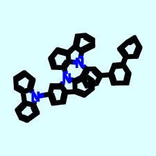 c1ccc(-c2cccc(-c3cccc(-n4c5ccccc5c5cccc(-n6c7ccccc7c7ccc(-n8c9ccccc9c9ccccc98)cc76)c54)c3)c2)cc1